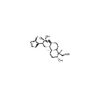 C=C1CCC2[C@@](C)(CC[C@@H](O)[C@@]2(C)CO)C1CC(C1=CCOC1=O)S(=O)(=O)O